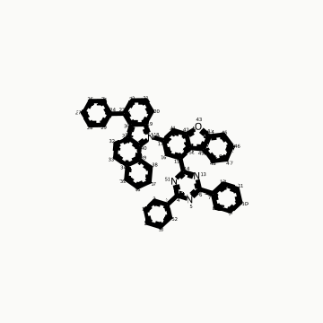 c1ccc(-c2nc(-c3ccccc3)nc(-c3cc(-n4c5cccc(-c6ccccc6)c5c5ccc6ccccc6c54)cc4oc5ccccc5c34)n2)cc1